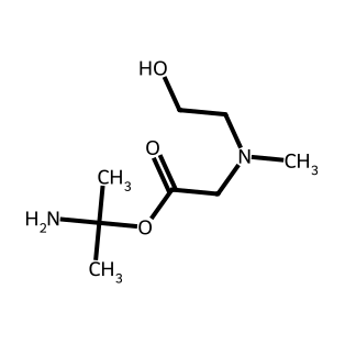 CN(CCO)CC(=O)OC(C)(C)N